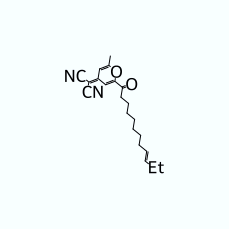 CCC=CCCCCCCCC(=O)C1=CC(=C(C#N)C#N)C=C(C)O1